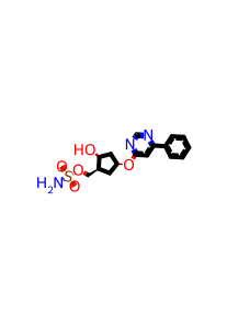 NS(=O)(=O)OC[C@@H]1C[C@@H](Oc2cc(-c3ccccc3)ncn2)C[C@@H]1O